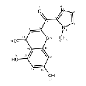 Cn1ccnc1C(=O)c1cc(=O)c2c(O)cc(O)cc2o1